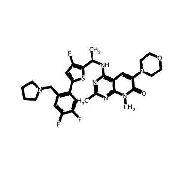 Cc1nc(N[C@H](C)c2sc(-c3cc(F)c(F)cc3CN3CCCC3)cc2F)c2cc(N3CCOCC3)c(=O)n(C)c2n1